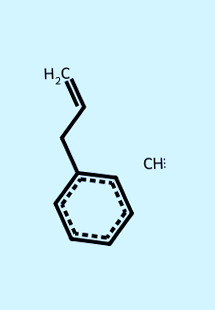 C=CCc1ccccc1.[CH]